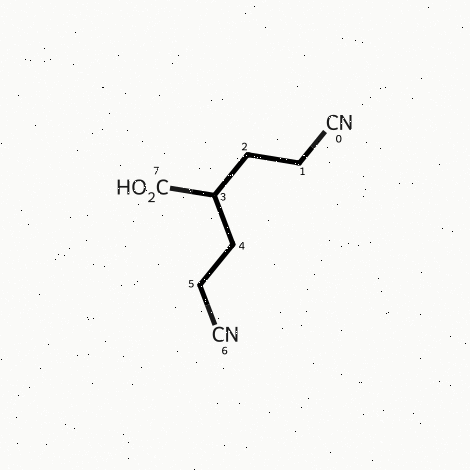 N#CCCC(CCC#N)C(=O)O